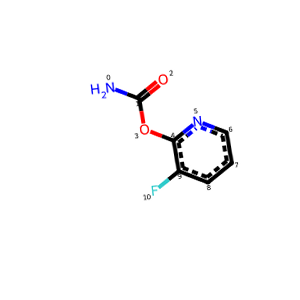 NC(=O)Oc1ncccc1F